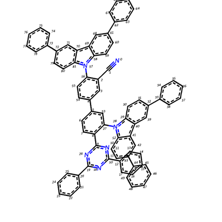 N#Cc1cc(-c2ccc(-c3nc(-c4ccccc4)nc(-c4ccccc4)n3)c(-n3c4ccc(-c5ccccc5)cc4c4cc(-c5ccccc5)ccc43)c2)ccc1-n1c2ccc(-c3ccccc3)cc2c2cc(-c3ccccc3)ccc21